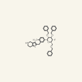 Cc1ccc([C@@H]2O[C@H](COCc3ccccc3)[C@@H](F)[C@H](OCc3ccccc3)[C@H]2OCc2ccccc2)cc1Cc1cc2c(s1)CCNC2